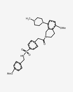 COc1ccc(CNS(=O)(=O)c2ccc(CC(=O)N3CCc4c(OC)ccc(N5CCN(C)CC5)c4C3)cc2)cc1